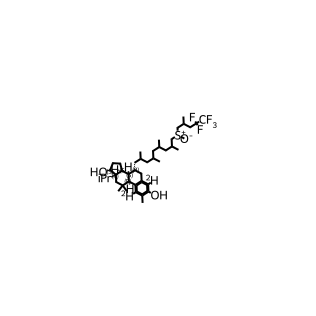 [2H]c1c(O)c(C)c([2H])c2c1C[C@@H](CC(C)CC(C)CC(C)CC(C)C[S+]([O-])CC(C)CC(F)(F)C(F)(F)F)[C@@H]1[C@@H]2C(C)(C)C[C@]2(C(C)C)[C@@H](O)CC[C@@H]12